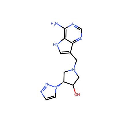 Nc1ncnc2c(CN3CC(O)[C@@H](n4ccnn4)C3)c[nH]c12